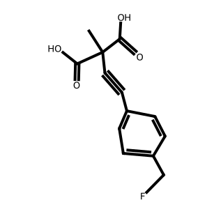 CC(C#Cc1ccc(CF)cc1)(C(=O)O)C(=O)O